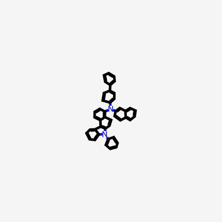 c1ccc(-c2ccc(N(c3ccc4ccccc4c3)c3cccc4c3ccc3c4c4ccccc4n3-c3ccccc3)cc2)cc1